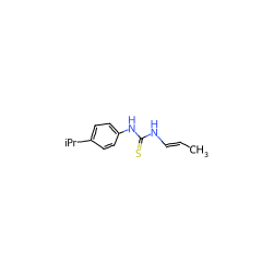 CC=CNC(=S)Nc1ccc(C(C)C)cc1